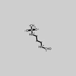 CS(=O)(=O)NCCCNC=O